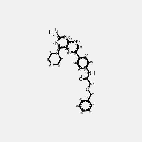 Nc1nc(N2CCOCC2)c2nc(-c3ccc(NC(=O)COCc4ccccc4)cc3)cnc2n1